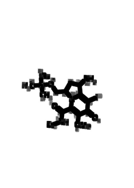 CCNC(=O)c1c(OC)c(=O)c(I)c2n1C(CO[Si](C)(C)C(C)(C)C)CC2N